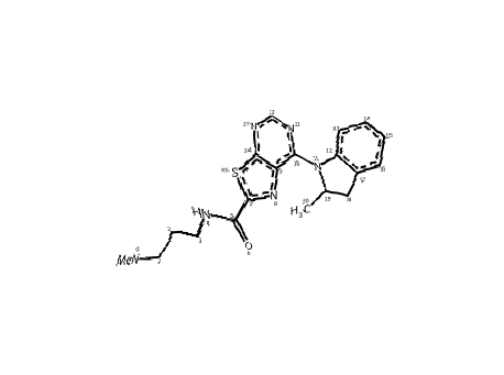 CNCCCNC(=O)c1nc2c(N3c4ccccc4CC3C)ncnc2s1